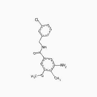 COc1cc(C(=O)NCc2cccc(Cl)c2)cc(N)c1C